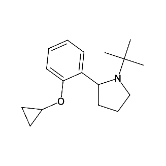 CC(C)(C)N1CCCC1c1ccccc1OC1CC1